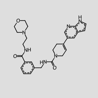 O=C(NCCN1CCOCC1)c1cccc(CNC(=O)N2CC=C(c3cnc4[nH]ccc4c3)CC2)c1